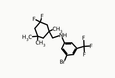 CC1(C)CC(F)(F)CC(C)(CNc2cc(Br)cc(C(F)(F)F)c2)C1